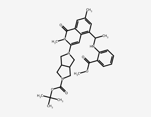 COC(=O)c1ccccc1NC(C)c1cc(C)cc2c(=O)n(C)c(N3CC4CN(C(=O)OC(C)(C)C)CC4C3)cc12